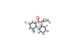 CC(C(=O)c1cc(F)cc(F)c1)c1ccccc1